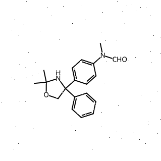 CN(C=O)c1ccc(C2(c3ccccc3)COC(C)(C)N2)cc1